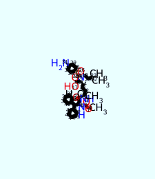 COC(=O)N[C@H](C(=O)NC(C)(C)CCC[C@@H](CO)N(CCC(C)C)S(=O)(=O)c1ccc(N)cc1)C(c1ccccc1)c1ccccc1